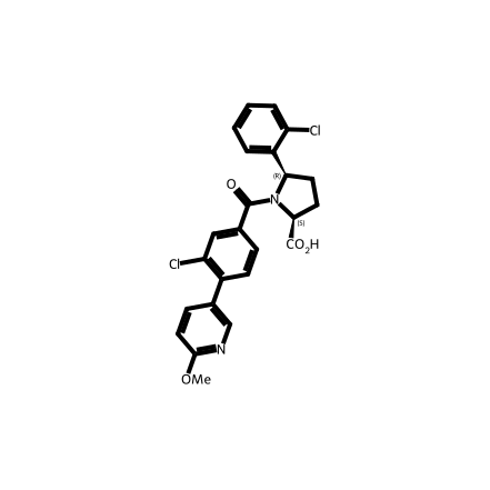 COc1ccc(-c2ccc(C(=O)N3[C@@H](c4ccccc4Cl)CC[C@H]3C(=O)O)cc2Cl)cn1